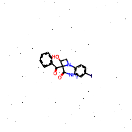 NC(=O)C1(C(=O)c2ccccc2)C(O)CN1c1ccc(I)cc1